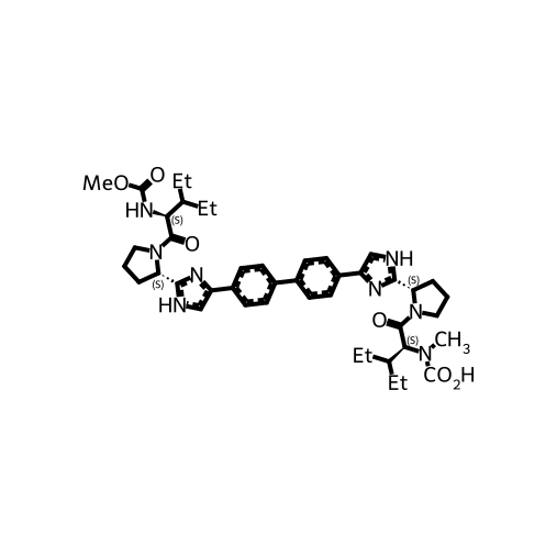 CCC(CC)[C@H](NC(=O)OC)C(=O)N1CCC[C@H]1c1nc(-c2ccc(-c3ccc(-c4c[nH]c([C@@H]5CCCN5C(=O)[C@H](C(CC)CC)N(C)C(=O)O)n4)cc3)cc2)c[nH]1